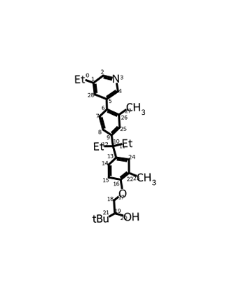 CCc1cncc(-c2ccc(C(CC)(CC)c3ccc(OCC(O)C(C)(C)C)c(C)c3)cc2C)c1